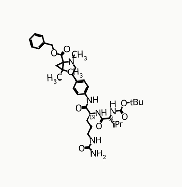 CC(C)[C@H](NC(=O)OC(C)(C)C)C(=O)N[C@@H](CCCNC(N)=O)C(=O)Nc1ccc(CCN(C)C2(C(=O)OCc3ccccc3)CC2(C)C)cc1